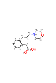 O=C(O)Cc1ccccc1CCCN1CCOCC1